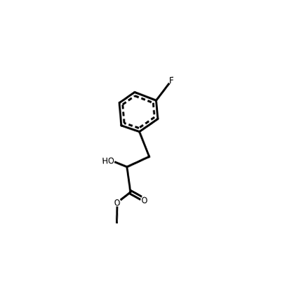 COC(=O)C(O)Cc1cccc(F)c1